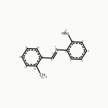 CCCCc1ccccc1/N=C/c1ccccc1C